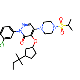 CCC(C)(C)C1CCC(Oc2c(N3CCN(S(=O)(=O)C(C)C)CC3)cnn(-c3cccc(Cl)c3)c2=O)C1